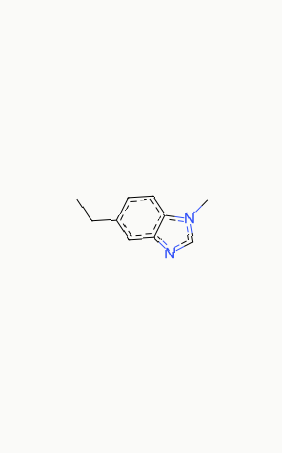 CCc1ccc2c(c1)ncn2C